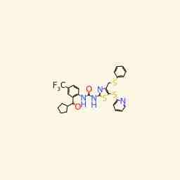 O=C(Nc1nc(CSc2ccccc2)c(Sc2ccccn2)s1)Nc1ccc(C(F)(F)F)cc1C(=O)C1CCCC1